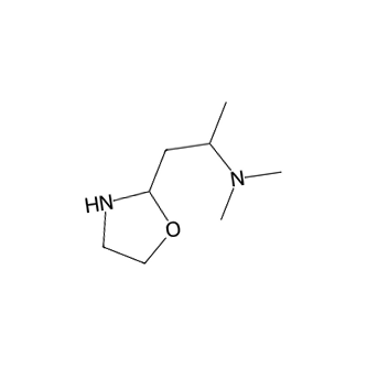 CC(CC1NCCO1)N(C)C